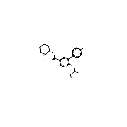 CCC(C)Oc1ncc(C(=O)N[C@@H]2CCCC[C@H]2O)cc1-c1ccc(Cl)cc1